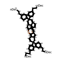 CCCCCCCCCCCCc1ccc(C2(c3ccc(CCCCCCCCCCCC)cc3)C=C3C=CCC34C(=C2)C=C2SC3=C5C=CC(c6ccc(CCCCCCCCCCCC)cc6)(c6ccc(CCCCCCCCCCCC)cc6)CC5=CC35SC=CC5=C24)cc1